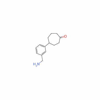 NCc1cccc(C2CCCC(=O)CC2)c1